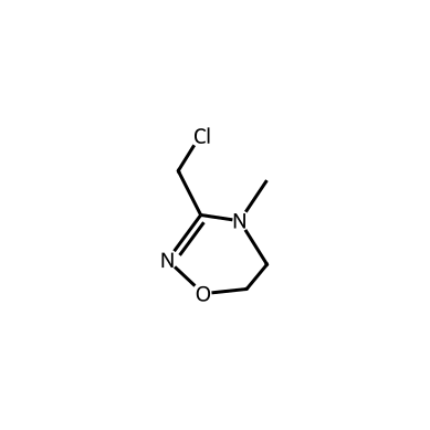 CN1CCON=C1CCl